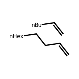 C=CCCCC.C=CCCCCCCCC